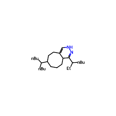 CCCCC(CC)C1=NNC=C2CCC(C(CCCC)CCCC)CCCC21